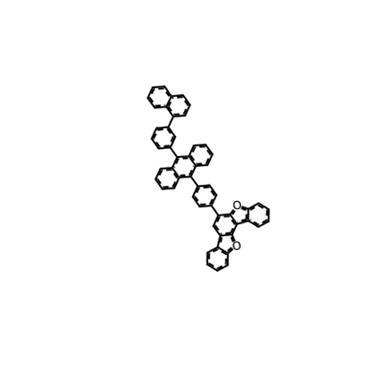 c1cc(-c2cccc3ccccc23)cc(-c2c3ccccc3c(-c3ccc(-c4cc5c6ccccc6oc5c5c4oc4ccccc45)cc3)c3ccccc23)c1